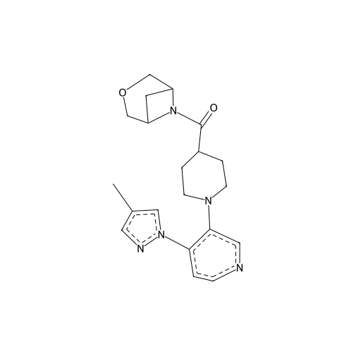 Cc1cnn(-c2ccncc2N2CCC(C(=O)N3C4COCC3C4)CC2)c1